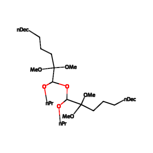 CCCCCCCCCCCCCC(OC)(OC)C(OCCC)OC(OCCC)C(CCCCCCCCCCCCC)(OC)OC